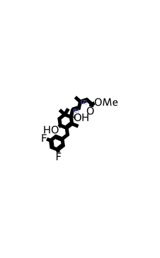 COC(=O)/C=C(C)\C=C\[C@@]1(O)C(C)=C(Cc2cc(F)cc(F)c2)C(O)CC1(C)C